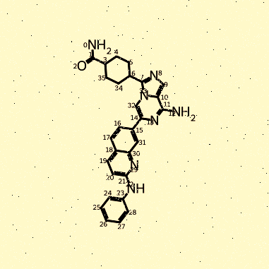 NC(=O)C1CCC(c2ncc3c(N)nc(-c4ccc5ccc(Nc6ccccc6)nc5c4)cn23)CC1